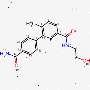 Cc1ccc(C(=O)NCCO)cc1-c1ccc(C(N)=O)cc1